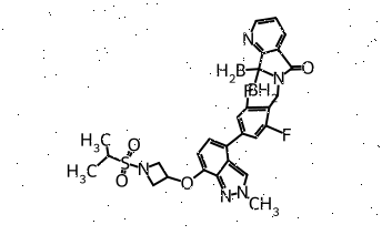 BC1(B)c2ncccc2C(=O)N1Cc1c(F)cc(-c2ccc(OC3CN(S(=O)(=O)C(C)C)C3)c3nn(C)cc23)cc1F